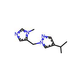 CC(C)c1cnn(Cc2cncn2C)c1